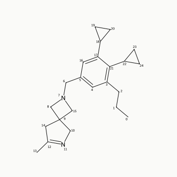 CCCc1cc(CN2CC3(CN=C(C)C3)C2)cc(C2CC2)c1C1CC1